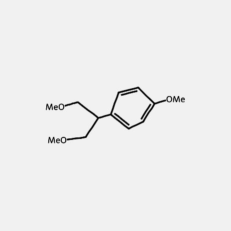 COCC(COC)c1ccc(OC)cc1